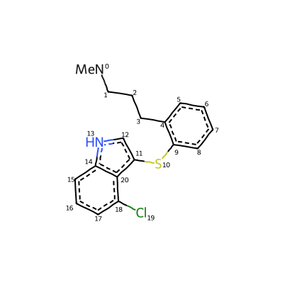 CNCCCc1ccccc1Sc1c[nH]c2cccc(Cl)c12